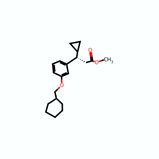 COC(=O)C[C@H](c1cccc(OCC2CCCCC2)c1)C1CC1